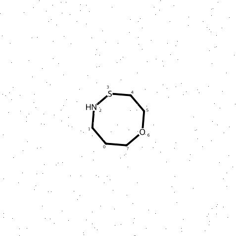 C1CNSCCOC1